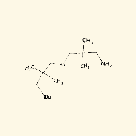 CCC(C)CC(C)(C)COCC(C)(C)CN